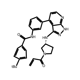 C=CC(=O)N1CC[C@@H](Nc2n[nH]c3nccc(-c4cccc(NC(=O)c5ccc(C(C)(C)C)cc5)c4)c23)C1